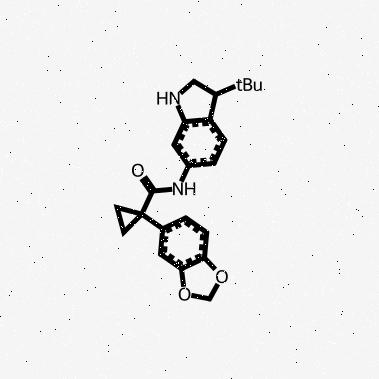 CC(C)(C)C1CNc2cc(NC(=O)C3(c4ccc5c(c4)OCO5)CC3)ccc21